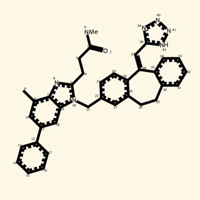 CNC(=O)CCc1nc2c(C)cc(-c3ccccc3)cc2n1Cc1ccc2c(c1)CCc1ccccc1C2=Cc1nnn[nH]1